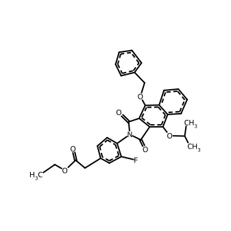 CCOC(=O)Cc1ccc(N2C(=O)c3c(c(OC(C)C)c4ccccc4c3OCc3ccccc3)C2=O)c(F)c1